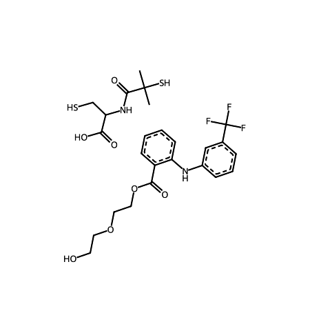 CC(C)(S)C(=O)NC(CS)C(=O)O.O=C(OCCOCCO)c1ccccc1Nc1cccc(C(F)(F)F)c1